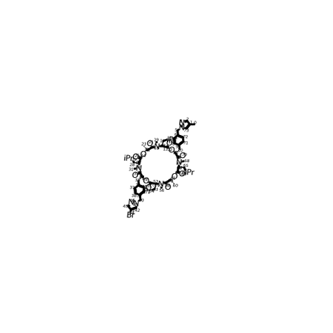 Cc1cnn(Cc2ccc(C[C@H]3OC(=O)[C@H](CC(C)C)N(C)C(=O)[C@@H](C)OC(=O)[C@H](CC(C)C)N(C)C(=O)[C@@H](Cc4ccc(Cn5cc(Br)cn5)cc4)OC(=O)[C@H](CC(C)C)N(C)C(=O)[C@@H](C)OC(=O)[C@H](CC(C)C)N(C)C3=O)cc2)c1